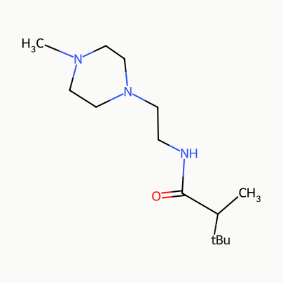 CC(C(=O)NCCN1CCN(C)CC1)C(C)(C)C